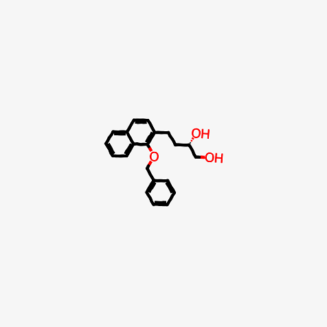 OC[C@@H](O)CCc1ccc2ccccc2c1OCc1ccccc1